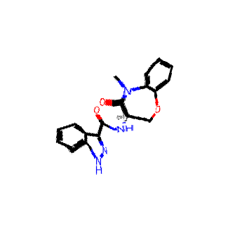 CN1C(=O)[C@@H](NC(=O)c2n[nH]c3ccccc23)COc2ccccc21